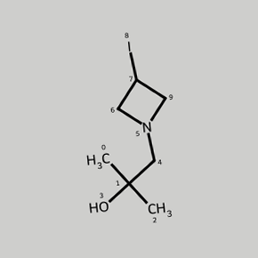 CC(C)(O)CN1CC(I)C1